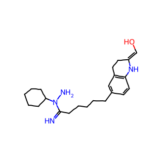 N=C(CCCCCc1ccc2c(c1)CC/C(=C\O)N2)N(N)C1CCCCC1